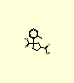 Cc1ccccc1C1(C(=O)O)CCC(C(=O)O)C1